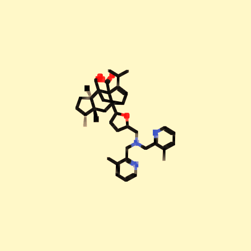 Cc1cccnc1CN(Cc1ncccc1C)CC1CCC(C23C[C@@H]4[C@H](C)CC[C@H]4C4(C=O)CC2C=C(C(C)C)C34C(=O)O)O1